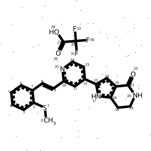 CSc1ccccc1/C=C/c1cc(-c2cc3c([nH]2)CCNC3=O)ccn1.O=C(O)C(F)(F)F